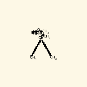 CCCCCCCCCCCCCCCCN(CCCCCCCCCCCCCCCC)C(=O)COC(C)COC(C)COC(=O)C(N)Cc1cnc[nH]1